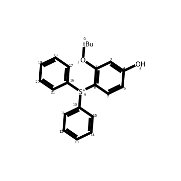 CC(C)(C)Oc1cc(O)ccc1[S+](c1ccccc1)c1ccccc1